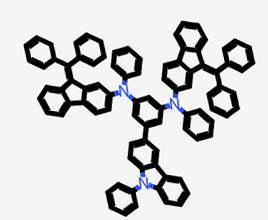 C1=CCC(/C(C2=CCCC=C2)=C2\c3ccccc3-c3ccc(N(c4ccccc4)c4cc(-c5ccc6c(c5)c5ccccc5n6-c5ccccc5)cc(N(c5ccccc5)c5ccc6c(c5)C(=C(c5ccccc5)c5ccccc5)c5ccccc5-6)c4)cc32)C=C1